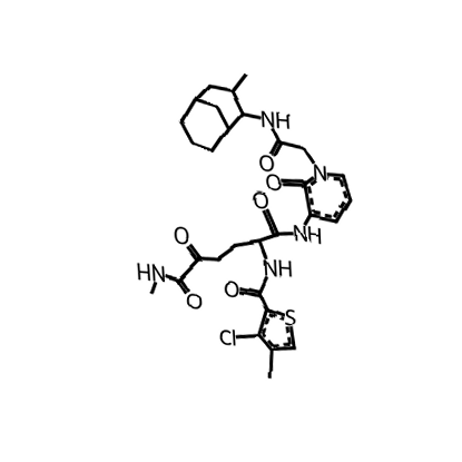 CNC(=O)C(=O)CCC(NC(=O)c1scc(C)c1Cl)C(=O)Nc1cccn(CC(=O)NC2C(C)CC3CCCC2C3)c1=O